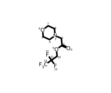 O=C(CN1CCOCC1)OCC(F)(F)C(F)(F)F